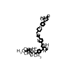 Cc1cc(-c2ncnc3[nH]c(-c4ccc(C5CN(CC6CCN(c7ccc(N8CCC(=O)NC8=O)cc7)CC6)C5)nc4)cc23)ccc1[C@@H](C)NC(=O)c1nc(C(C)(C)C)no1